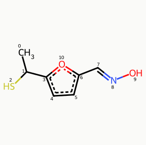 CC(S)c1ccc(/C=N/O)o1